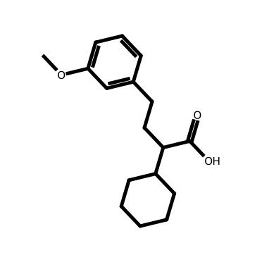 COc1cccc(CCC(C(=O)O)C2CCCCC2)c1